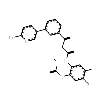 Cc1cc(NC(=O)OC(C)(C)C)c(NC(=O)CC(=O)c2cccc(-c3ccc(C(C)C)nc3)c2)cc1Cl